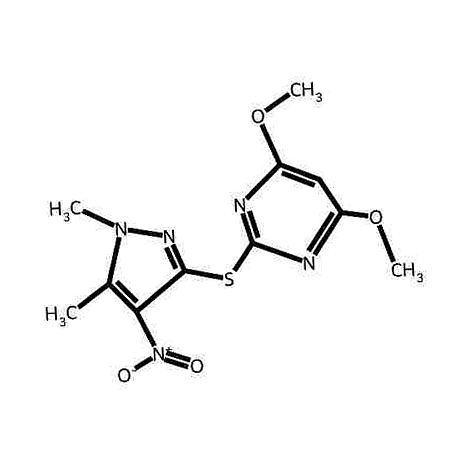 COc1cc(OC)nc(Sc2nn(C)c(C)c2[N+](=O)[O-])n1